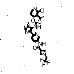 C[C@@H](OC(=O)Nc1c(-c2ccc(NC(=O)C3CN(CC(F)(F)F)C3)cn2)nnn1C)c1cccnc1Cl